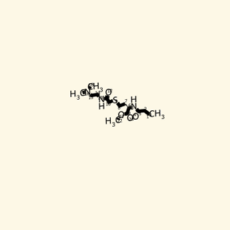 CCCC(=O)N[C@@H](CCSCC(=O)NCCN(C)C)C(=O)OC